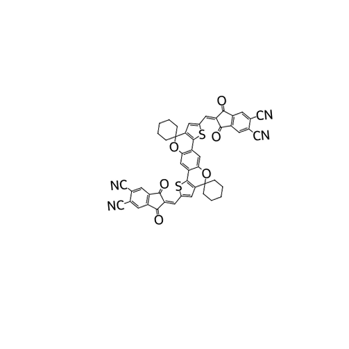 N#Cc1cc2c(cc1C#N)C(=O)C(=Cc1cc3c(s1)-c1cc4c(cc1OC31CCCCC1)-c1sc(C=C3C(=O)c5cc(C#N)c(C#N)cc5C3=O)cc1C1(CCCCC1)O4)C2=O